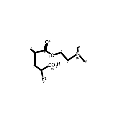 CCC(CC(C)C(=O)OCCN(C)C)C(=O)O